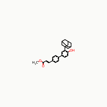 COC(=O)C=Cc1ccc(-c2ccc(O)c(C34CC5CC(CC(C5)C3)C4)c2)cc1